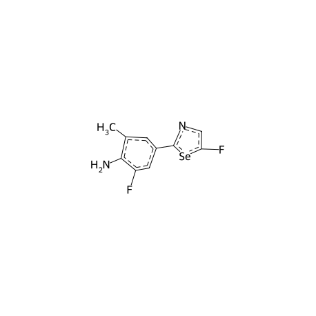 Cc1cc(-c2ncc(F)[se]2)cc(F)c1N